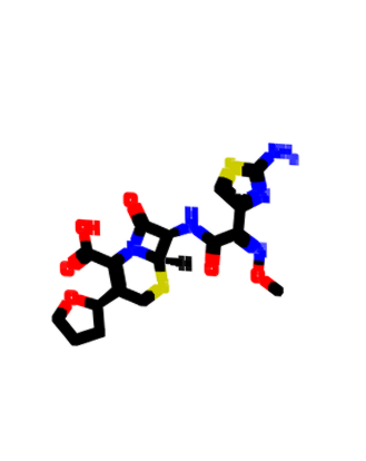 CO/N=C(\C(=O)N[C@@H]1C(=O)N2C(C(=O)O)=C([C@H]3CCCO3)CS[C@H]12)c1csc(N)n1